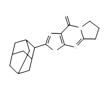 O=c1c2nc(C3C4CC5CC(C4)CC3C5)oc2nc2n1CCC2